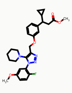 COC(=O)CC(c1cccc(OCc2nnn(-c3cc(OC)ccc3F)c2N2CCCCC2)c1)C1CC1